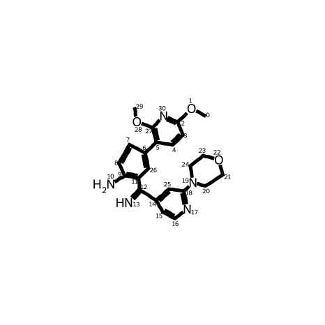 COc1ccc(-c2ccc(N)c(C(=N)c3ccnc(N4CCOCC4)c3)c2)c(OC)n1